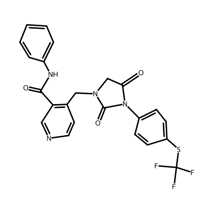 O=C(Nc1ccccc1)c1cnccc1CN1CC(=O)N(c2ccc(SC(F)(F)F)cc2)C1=O